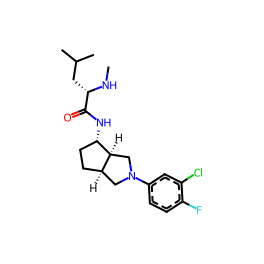 CN[C@@H](CC(C)C)C(=O)N[C@H]1CC[C@@H]2CN(c3ccc(F)c(Cl)c3)C[C@@H]21